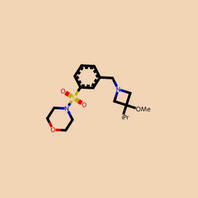 COC1(C(C)C)CN(Cc2cccc(S(=O)(=O)N3CCOCC3)c2)C1